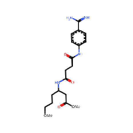 COCCCC(CC(=O)OC)NC(=O)CCC(=O)Nc1ccc(C(=N)N)cc1